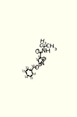 CC(C)NC(=O)c1cc(OCc2ccccc2)no1